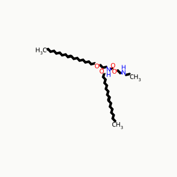 CCCCCCCCC=CCCCCCCCCOCC(CNC(=O)OCCNCCC)OCCCCCCCCC=CCCCCCCCC